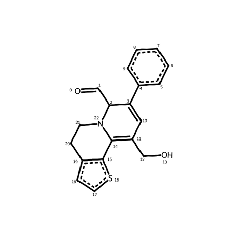 O=CC1C(c2ccccc2)=CC(CO)=C2c3sccc3CCN21